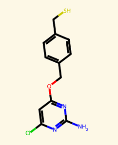 Nc1nc(Cl)cc(OCc2ccc(CS)cc2)n1